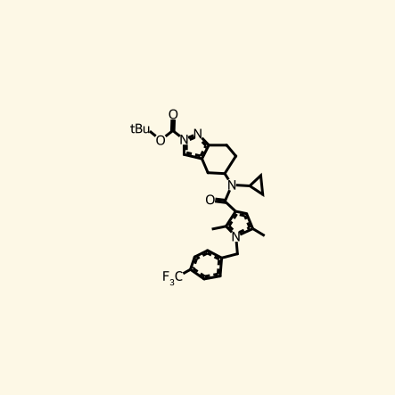 Cc1cc(C(=O)N(C2CC2)C2CCc3nn(C(=O)OC(C)(C)C)cc3C2)c(C)n1Cc1ccc(C(F)(F)F)cc1